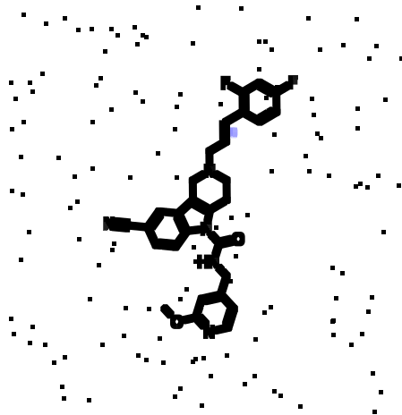 COc1cc(CNC(=O)n2c3c(c4cc(C#N)ccc42)CN(C/C=C/c2ccc(F)cc2F)CC3)ccn1